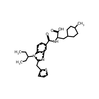 CCC(CC)n1c(Cc2cccs2)nc2cc(C(=O)NC(CC3CCC(C)CC3)C(=O)O)ccc21